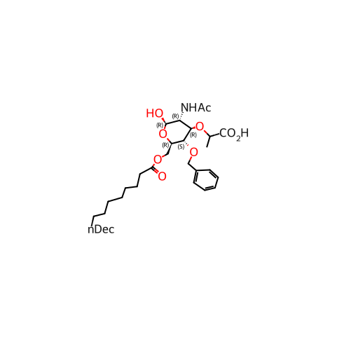 CCCCCCCCCCCCCCCCCC(=O)OC[C@H]1O[C@@H](O)[C@H](NC(C)=O)[C@@H](OC(C)C(=O)O)[C@@H]1OCc1ccccc1